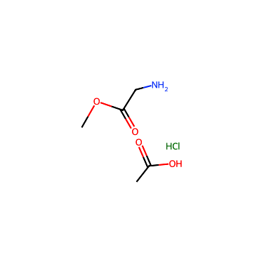 CC(=O)O.COC(=O)CN.Cl